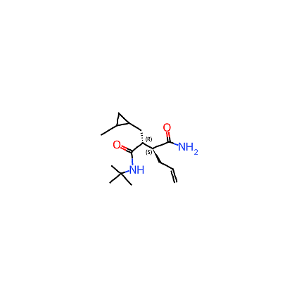 C=CC[C@H](C(N)=O)[C@@H](CC1CC1C)C(=O)NC(C)(C)C